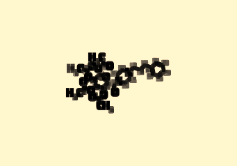 CC(=O)O[C@@H]1O[C@H](C(=O)N2CCN(CCCc3ccccc3)CC2)[C@@H](OC(C)=O)[C@H](OC(C)=O)[C@H]1OC(C)=O